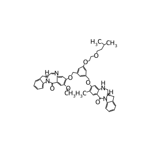 COc1cc2c(cc1OCc1cc(COc3cc4c(cc3C)C(=O)N3c5ccccc5C[C@H]3CN4)cc(OCCOCCC(C)C)c1)N=C[C@@H]1Cc3ccccc3N1C2=O